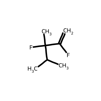 C=C(F)C(C)(F)C(C)C